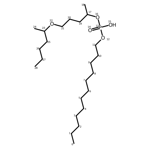 CCCCCCCCCCCCOP(=O)(O)OC(C)CCCOC(C)CCCC